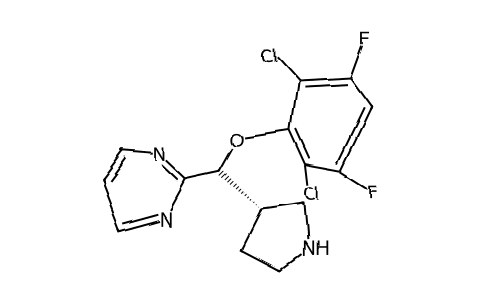 Fc1cc(F)c(Cl)c(OC(c2ncccn2)[C@H]2CCNC2)c1Cl